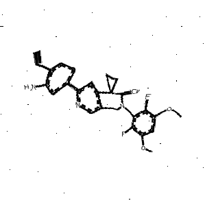 C=Cc1ccc(-c2cc3c(cn2)CN(c2c(F)c(OC)cc(OC)c2F)C(=O)C32CC2)cc1N